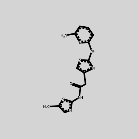 Cc1cnc(NC(=O)Cc2csc(Nc3cccc(N)n3)n2)s1